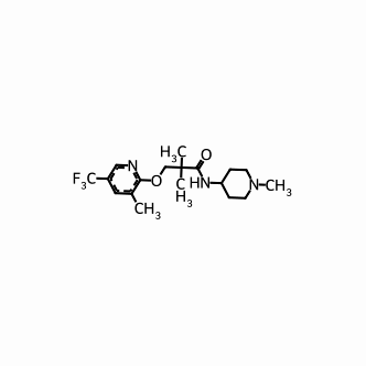 Cc1cc(C(F)(F)F)cnc1OCC(C)(C)C(=O)NC1CCN(C)CC1